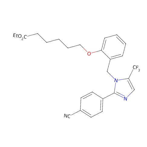 CCOC(=O)CCCCCOc1ccccc1Cn1c(C(F)(F)F)cnc1-c1ccc(C#N)cc1